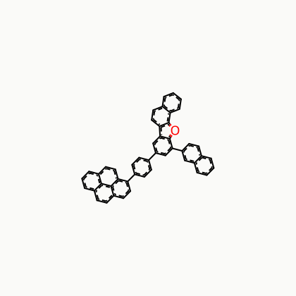 c1ccc2cc(-c3cc(-c4ccc(-c5ccc6ccc7cccc8ccc5c6c78)cc4)cc4c3oc3c5ccccc5ccc43)ccc2c1